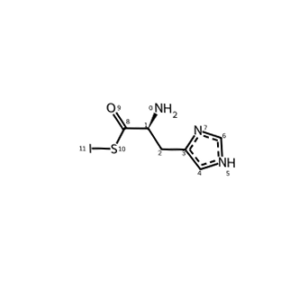 N[C@@H](Cc1c[nH]cn1)C(=O)SI